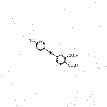 N#Cc1ccc(C#Cc2ccc(C(=O)O)c(C(=O)O)c2)cc1